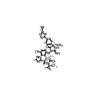 CC(C)(C)C[C@]1(c2ccc(-c3nnn(C4CC4)n3)cc2)NC(=N)N([C@H](COC(=O)NC2(C(F)(F)F)CC2)c2ccc(Cl)c(-n3ncnc3C(F)F)c2)C1=O